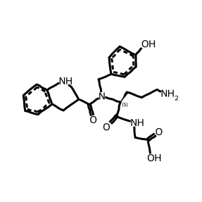 NCCC[C@@H](C(=O)NCC(=O)O)N(Cc1ccc(O)cc1)C(=O)C1CNc2ccccc2C1